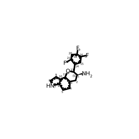 N[C@H]1Cc2ccc3[nH]ccc3c2OC1c1cc(F)c(F)cc1F